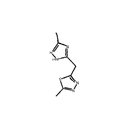 Cc1n[nH]c(Cc2nnc(C)s2)n1